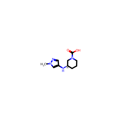 Cn1cc(N[C@@H]2CCCN(C(=O)O)C2)cn1